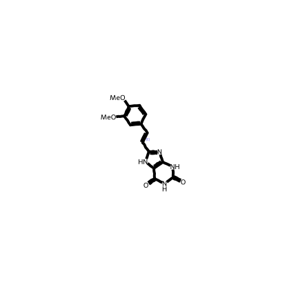 COc1ccc(/C=C/c2nc3[nH]c(=O)[nH]c(=O)c3[nH]2)cc1OC